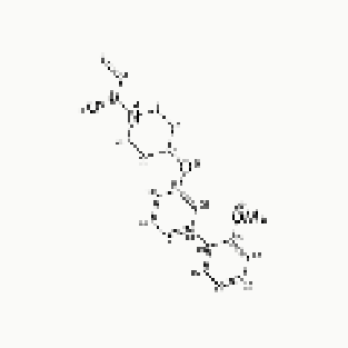 C=CC(=O)N1CCC(Oc2cccc(-c3ccccc3OC)c2)CC1